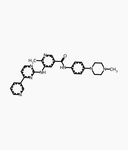 Cc1ncc(C(=O)Nc2ccc(N3CCN(C)CC3)cc2)cc1Nc1nccc(-c2cccnc2)n1